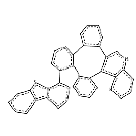 c1ccc2c(c1)-c1cccc(-c3cccc4c3sc3ccccc34)c1-c1ccccc1-c1c-2cnc2cccnc12